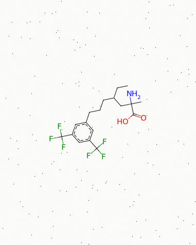 CCC(CCCc1cc(C(F)(F)F)cc(C(F)(F)F)c1)CC(C)(N)C(=O)O